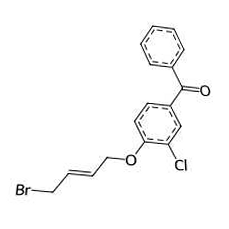 O=C(c1ccccc1)c1ccc(OCC=CCBr)c(Cl)c1